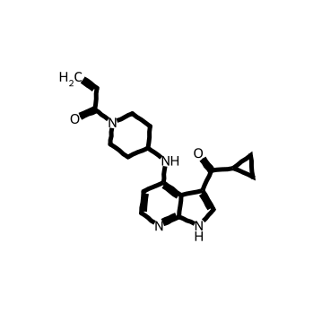 C=CC(=O)N1CCC(Nc2ccnc3[nH]cc(C(=O)C4CC4)c23)CC1